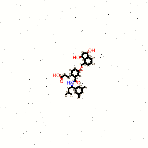 Cc1cc(C)cc(C(CC(C)C)NC(=O)c2cc(OCc3cccc4c3C(O)CC4O)ccc2CCC(=O)O)c1